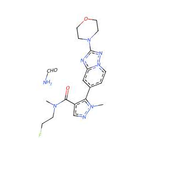 CN(CCF)C(=O)c1cnn(C)c1-c1ccn2nc(N3CCOCC3)nc2c1.NC=O